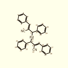 N#CC(=Cc1ccccc1)[CH]([Pd][CH](C(C#N)=Cc1ccccc1)c1ccccc1)c1ccccc1